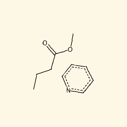 CCCC(=O)OC.c1ccncc1